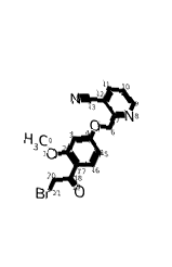 COc1cc(OCc2ncccc2C#N)ccc1C(=O)CBr